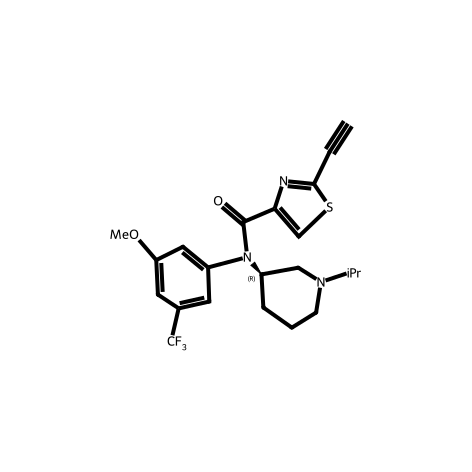 C#Cc1nc(C(=O)N(c2cc(OC)cc(C(F)(F)F)c2)[C@@H]2CCCN(C(C)C)C2)cs1